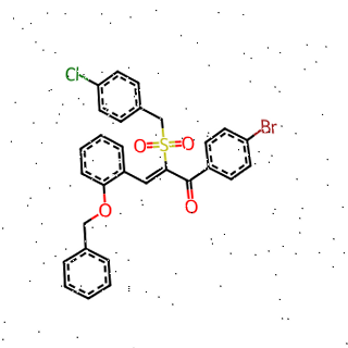 O=C(/C(=C/c1ccccc1OCc1ccccc1)S(=O)(=O)Cc1ccc(Cl)cc1)c1ccc(Br)cc1